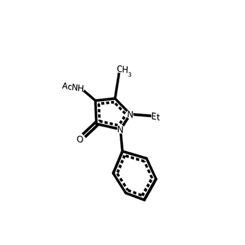 CCn1c(C)c(NC(C)=O)c(=O)n1-c1ccccc1